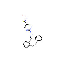 ONC(=S)c1cnc(NCC2c3ccccc3CCc3ccccc32)nc1